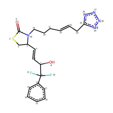 O=C1SCC(/C=C/C(O)C(F)(F)c2ccccc2)N1CCC/C=C/Cc1nnn[nH]1